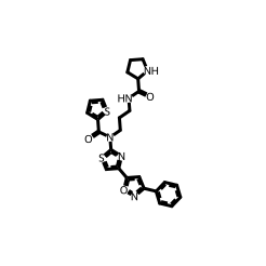 O=C(NCCCN(C(=O)c1cccs1)c1nc(-c2cc(-c3ccccc3)no2)cs1)C1CCCN1